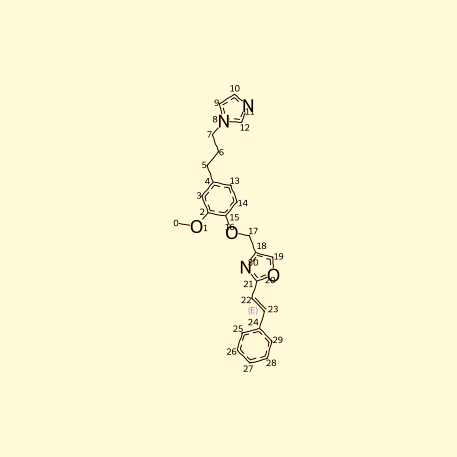 COc1cc(CCCn2ccnc2)ccc1OCc1coc(/C=C/c2ccccc2)n1